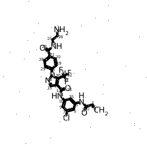 C=CC(=O)Nc1cc(Cl)cc(NC(=O)c2cnn(-c3ccc(C(=O)NCCN)cc3)c2C(F)(F)F)c1